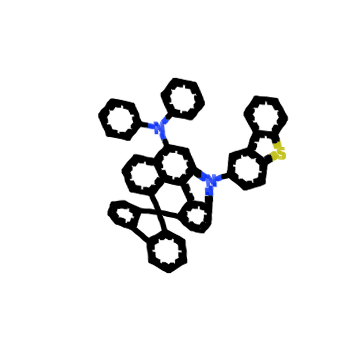 c1ccc(N(c2ccccc2)c2cc3c4c5c(cccc25)C2(c5ccccc5-c5ccccc52)c2cccc(c24)n3-c2ccc3sc4ccccc4c3c2)cc1